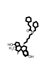 C[C@]12C[C@H](F)C3c4ccc(O)cc4C[C@@H](CCCCCCN(CC4CCCCC4)C(=O)CCC4CCCCC4)C3C1CC[C@@H]2O